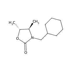 C[C@@H]1[C@@H](C)OC(=O)N1CC1CCCCC1